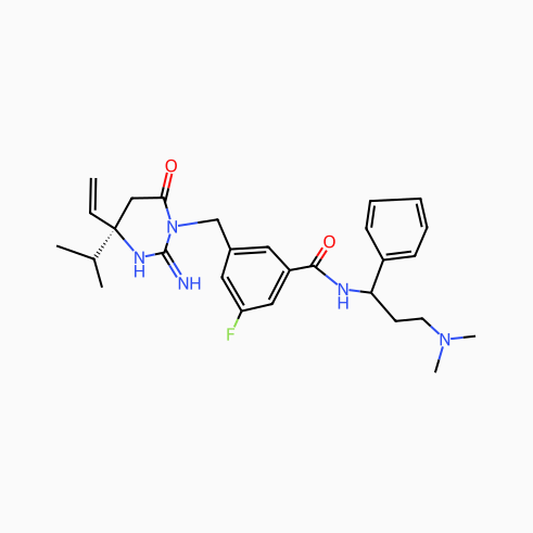 C=C[C@@]1(C(C)C)CC(=O)N(Cc2cc(F)cc(C(=O)NC(CCN(C)C)c3ccccc3)c2)C(=N)N1